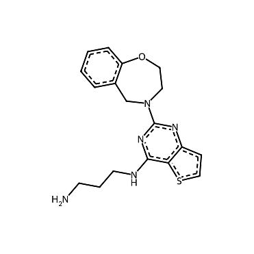 NCCCNc1nc(N2CCOc3ccccc3C2)nc2ccsc12